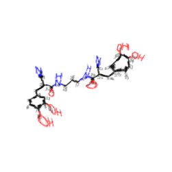 N#CC(=Cc1ccc(O)c(O)c1)C(=O)NCCCNC(=O)C(C#N)=Cc1ccc(O)c(O)c1